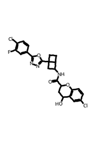 O=C(NC1CC2(c3nnc(-c4ccc(Cl)c(F)c4)o3)CCC12)C1CC(O)c2cc(Cl)ccc2O1